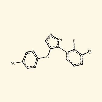 N#Cc1ccc(Oc2cn[nH]c2-c2cccc(Cl)c2F)cc1